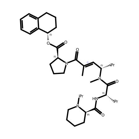 C/C(=C\[C@H](C(C)C)N(C)C(=O)[C@@H](NC(=O)[C@H]1CCCCN1C(C)C)C(C)C)C(=O)N1CCC[C@H]1C(=O)O[C@H]1CCCc2ccccc21